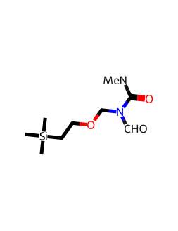 CNC(=O)N(C=O)COCC[Si](C)(C)C